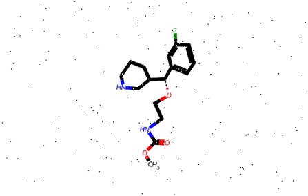 COC(=O)NCCO[C@@H](c1cccc(F)c1)C1CCCNC1